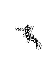 CSc1cc(C)[nH]c(=O)c1CNC(=O)c1cc(Cl)c2c(c1C)OC(C)(C1CCN(C(=O)CC#N)CC1)O2